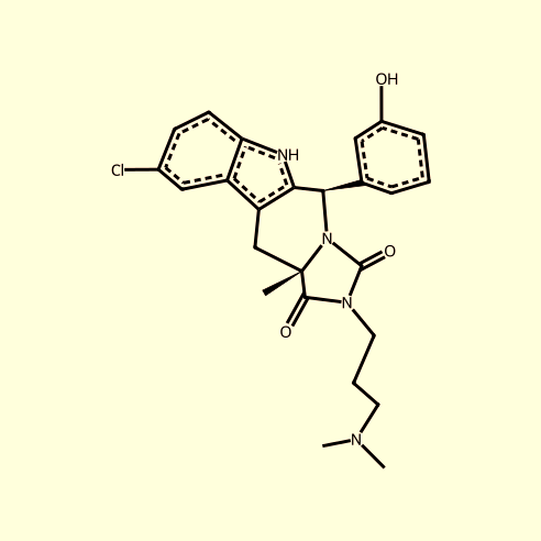 CN(C)CCCN1C(=O)N2[C@H](c3cccc(O)c3)c3[nH]c4ccc(Cl)cc4c3C[C@@]2(C)C1=O